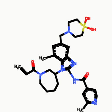 C=CC(=O)N1CCCCC(n2c(NC(=O)c3ccnc(C)c3)nc3cc(CN4CCS(O)(O)CC4)cc(C)c32)C1